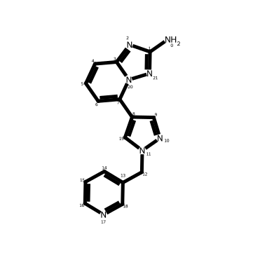 Nc1nc2cccc(-c3cnn(Cc4cccnc4)c3)n2n1